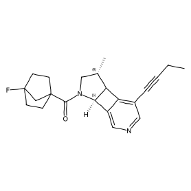 CCC#Cc1cncc2c1C1[C@@H]2N(C(=O)C23CCC(F)(CC2)C3)C[C@@H]1C